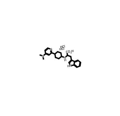 CN(C)c1ccnc(C2CCC(NC(Cc3c[nH]c4ccccc34)C(=O)O)CC2)c1.Cl.Cl